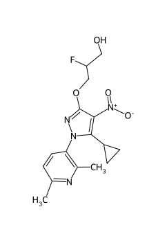 Cc1ccc(-n2nc(OCC(F)CO)c([N+](=O)[O-])c2C2CC2)c(C)n1